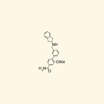 COc1cc(C(N)=O)ccc1-c1cccc(CNC2Cc3ccccc3C2)c1